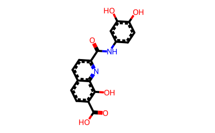 O=C(Nc1ccc(O)c(O)c1)c1ccc2ccc(C(=O)O)c(O)c2n1